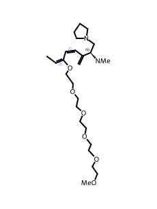 C=C(/C=C\C(=C/C)OCCOCCOCCOCCOCCOC)[C@@H](CN1CCCC1)NC